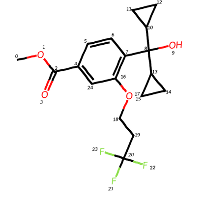 COC(=O)c1ccc(C(O)(C2CC2)C2CC2)c(OCCC(F)(F)F)c1